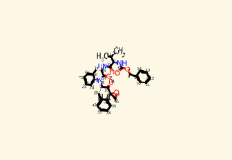 CC(C)[C@@H](NC(=O)OCc1ccccc1)C(=O)N[C@@H](Cc1ccccc1)C(=O)N[C@@H](Cc1ccccc1)C(=O)[C@@]1(C)CO1